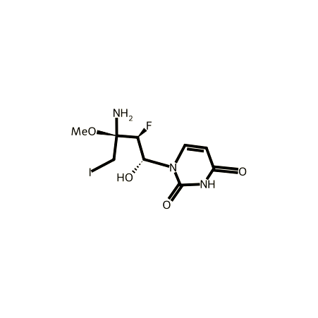 CO[C@](N)(CI)[C@@H](F)[C@@H](O)n1ccc(=O)[nH]c1=O